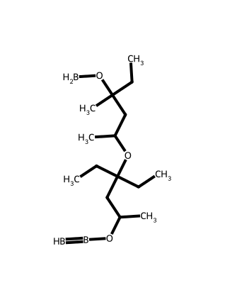 B=BOC(C)CC(CC)(CC)OC(C)CC(C)(CC)OB